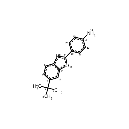 CC(C)(C)c1ccc2nc(-c3ccc(N)cc3)oc2c1